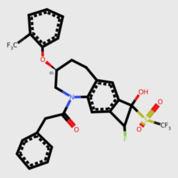 O=C(Cc1ccccc1)N1C[C@@H](Oc2ccccc2C(F)(F)F)CCc2cc3c(cc21)C(F)C3(O)S(=O)(=O)C(F)(F)F